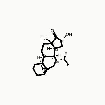 C[C@]12CCCC=C1C[C@@H]([C](F)F)[C@@H]1[C@@H]2CC[C@]2(C)C(=O)[C@H](O)C[C@@H]12